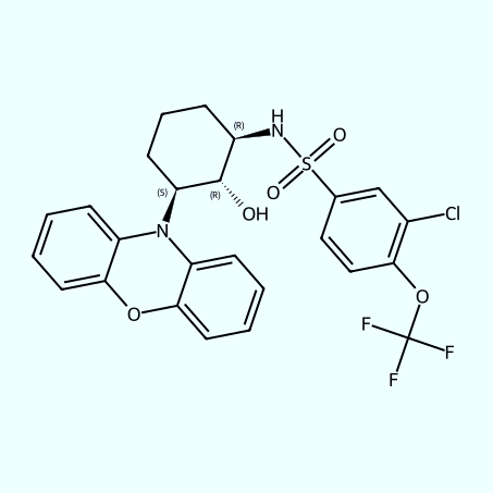 O=S(=O)(N[C@@H]1CCC[C@H](N2c3ccccc3Oc3ccccc32)[C@H]1O)c1ccc(OC(F)(F)F)c(Cl)c1